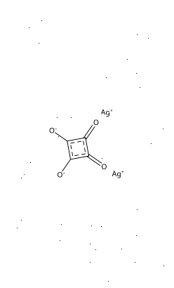 O=c1c([O-])c([O-])c1=O.[Ag+].[Ag+]